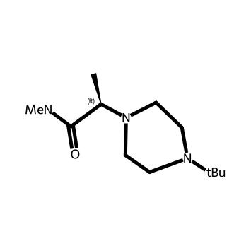 CNC(=O)[C@@H](C)N1CCN(C(C)(C)C)CC1